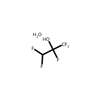 O.OC(F)(C(F)F)C(F)(F)F